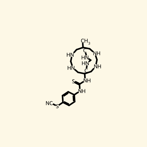 CC12CNCNCC(NC(=S)Nc3ccc(SC#N)cc3)(CNCNC1)CNCNC2